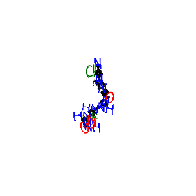 C[C@@H]1CC2(CCN(c3ccc(C(=O)N4CCC(NCCNc5ccc(C(=O)N[C@H]6CCC(=O)NC6=O)c(F)c5)CC4)cc3)CC2)CN1c1ccc(C#N)c(Cl)c1